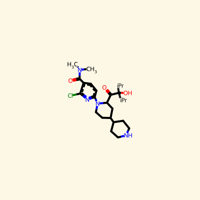 CC(C)C(O)(C(=O)C1CC(C2CCNCC2)CCN1c1ccc(C(=O)N(C)C)c(Cl)n1)C(C)C